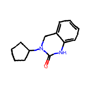 O=C1Nc2ccccc2CN1C1CCCC1